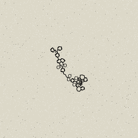 O=C(CCCc1ccc(N2C(=O)c3cccc4c(-c5ccc(N(c6ccccc6)c6ccccc6)cc5)ccc(c34)C2=O)cc1)Oc1cc(Cl)c(C2=C3C=C4CCCc5ccccc5C4=[N+]3[B-](F)(F)n3c2cc2c3-c3ccccc3CCC2)c(Cl)c1